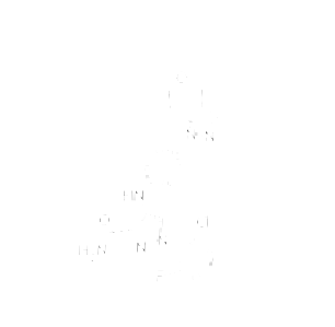 NC(=O)c1nn(-c2c(F)cccc2Cl)cc1Nc1ccc(-n2ncc3c2CCOC3)cc1